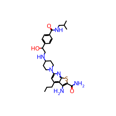 CCCc1cc(N2CCC(NCC(O)c3ccc(C(=O)NCC(C)C)cc3)CC2)nc2sc(C(N)=O)c(N)c12